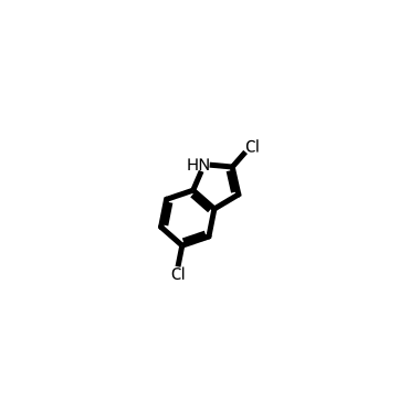 Clc1ccc2[nH]c(Cl)cc2c1